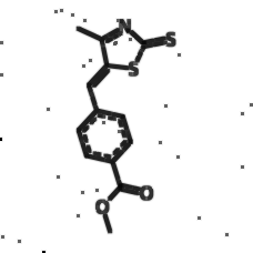 COC(=O)c1ccc(/C=C2\SC(=S)N=C2C)cc1